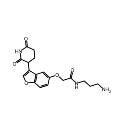 NCCCNC(=O)COc1ccc2occ(C3CCC(=O)NC3=O)c2c1